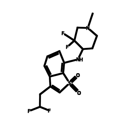 CN1CCC(Nc2cccc3c2S(=O)(=O)C=C3CC(F)F)C(F)(F)C1